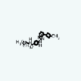 Cc1ccc(-c2cccn3nc(Nc4ccc(C(=O)NCCN(C)C)cc4)nc23)cc1